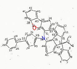 CC(C)C1(c2ccccc2)c2ccccc2-c2c(N(c3ccc(-c4ccccc4)cc3)c3cccc4c3oc3ccccc34)cccc21